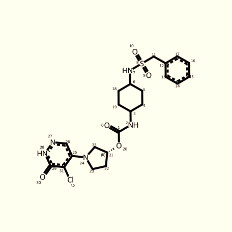 O=C(NC1CCC(NS(=O)(=O)Cc2ccccc2)CC1)O[C@@H]1CCN(c2cn[nH]c(=O)c2Cl)C1